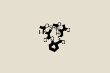 CC(=O)NC(CSC(=O)c1ccccc1OC(=O)C(CS)NC(C)=O)C(C)=O